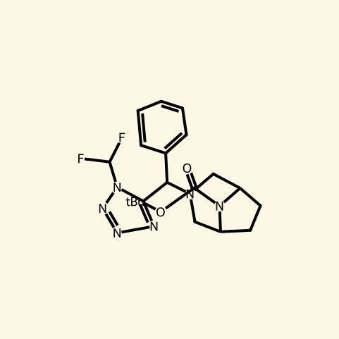 CC(C)(C)OC(=O)N1C2CCC1CN(C(c1ccccc1)c1nnnn1C(F)F)C2